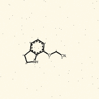 N#CCOc1cccc2c1NCC2